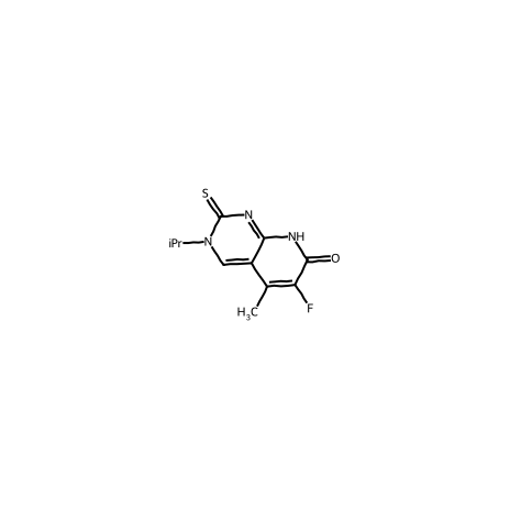 Cc1c(F)c(=O)[nH]c2nc(=S)n(C(C)C)cc12